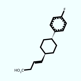 O=C(O)CC=C[C@H]1CC[C@H](c2ccc(F)cc2)CC1